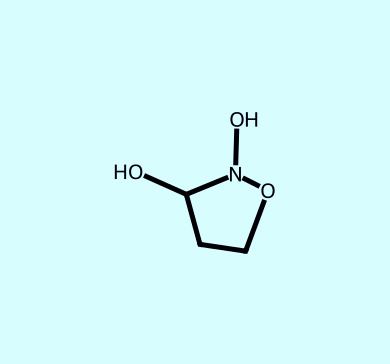 OC1CCON1O